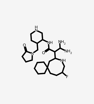 NC(N)C(C(=O)NC1CNCCC1CN1CCCC1=O)C1CC2(CCCCC2)CCC(F)CN1